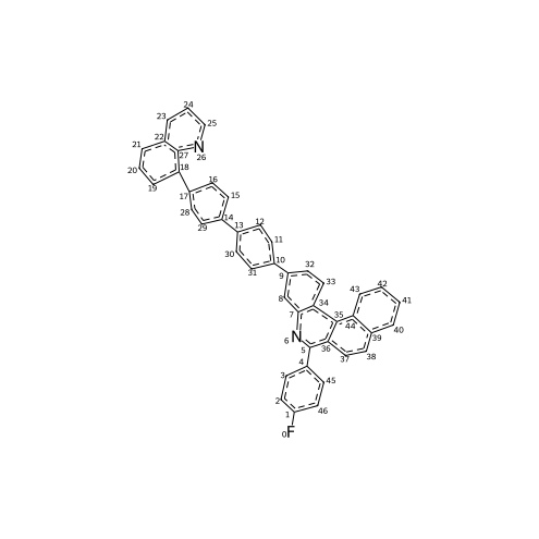 Fc1ccc(-c2nc3cc(-c4ccc(-c5ccc(-c6cccc7cccnc67)cc5)cc4)ccc3c3c2ccc2ccccc23)cc1